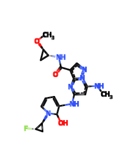 CNc1cc(NC2=CC=CN([C@H]3C[C@@H]3F)C2O)nc2c(C(=O)N[C@@H]3C[C@H]3OC)cnn12